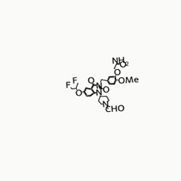 COc1ccc(Cn2c(=O)c3cc(OC(CF)CF)ccc3n(C3CCN(C=O)CC3)c2=O)cc1OCC(N)=O